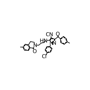 Cc1ccc(C(=O)c2nn(-c3ccc(Cl)cc3)c(NCCCN3CCc4cc(C)ccc4C3=O)c2C#N)cc1